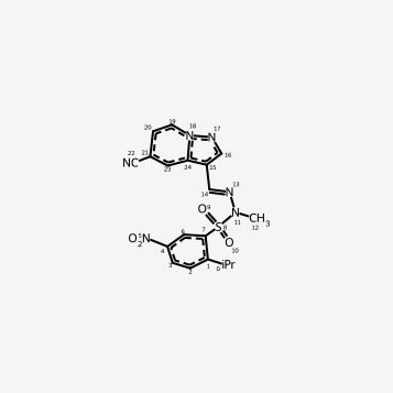 CC(C)c1ccc([N+](=O)[O-])cc1S(=O)(=O)N(C)N=Cc1cnn2ccc(C#N)cc12